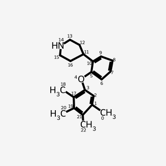 Cc1cc(Oc2ccccc2C2CCNCC2)c(C)c(C)c1C